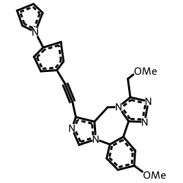 COCc1nnc2n1Cc1c(C#Cc3ccc(-n4cccc4)cc3)ncn1-c1ccc(OC)cc1-2